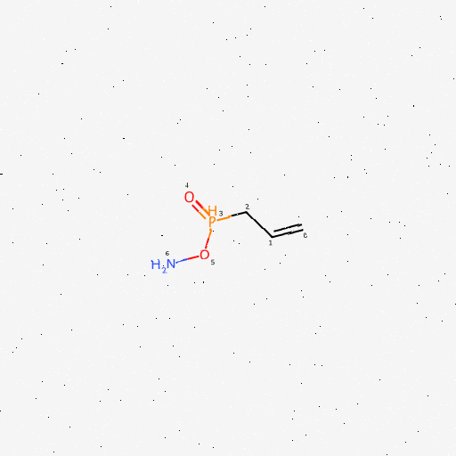 C=CC[PH](=O)ON